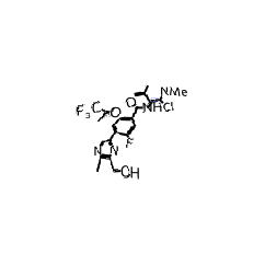 C=C(C)/C(NC(=O)c1cc(F)c(-c2cnc(C)c(CO)n2)cc1O[C@@H](C)C(F)(F)F)=C(/Cl)NC